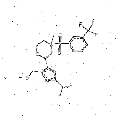 COCn1nc(C(F)F)cc1C1CC(C)(S(=O)(=O)c2cccc(C(F)(F)F)c2)CCO1